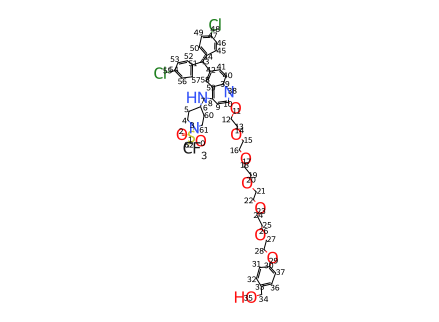 O=S(=O)(N1CCC(Nc2cc(OCCOCCOCCOCCOCCOCCOc3ccc(CO)cc3)nc3ccc(C(c4ccc(Cl)cc4)c4ccc(Cl)cc4)cc23)CC1)C(F)(F)F